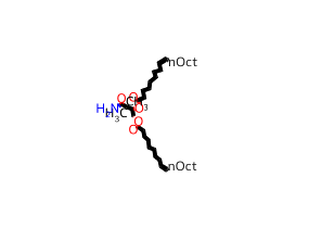 CCCCCCCC/C=C\CCCCCCCC(=O)OCC(OC(=O)CCCCCCC/C=C\CCCCCCCC)C(C)(C)C(N)=O